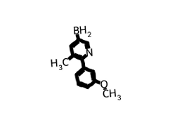 Bc1cnc(-c2cccc(OC)c2)c(C)c1